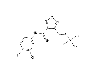 CC(C)[Si](OCc1nonc1C(=N)Nc1ccc(F)c(Cl)c1)(C(C)C)C(C)C